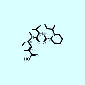 CCC(C)N1CCCC[C@@H]1C(=O)N[C@H](C(=O)N(C)[C@H](/C=C(\C)C(=O)O)CC)C(C)C